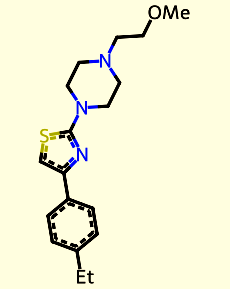 CCc1ccc(-c2csc(N3CCN(CCOC)CC3)n2)cc1